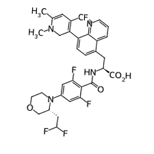 CC1=CC(C(F)(F)F)=C(c2ccc(C[C@H](NC(=O)c3c(F)cc(N4CCOC[C@H]4CC(F)F)cc3F)C(=O)O)c3cccnc23)CN1C